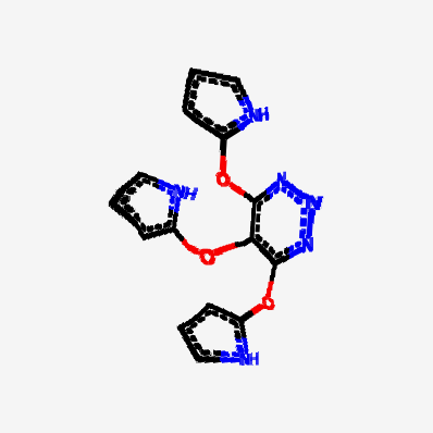 c1c[nH]c(Oc2nnnc(Oc3ccc[nH]3)c2Oc2ccc[nH]2)c1